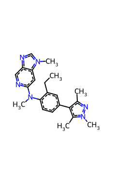 CCc1cc(-c2c(C)nn(C)c2C)ccc1N(C)c1cc2c(cn1)ncn2C